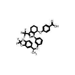 C[C@H](Oc1cccc(-n2nc(C(F)(F)F)c3c2[C@H](Oc2ccc(C(=O)O)cc2)CCC3)c1)c1ccc2c(c1)OC(F)(F)O2